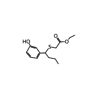 CCCC(SCC(=O)OCC)c1cccc(O)c1